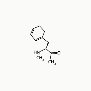 CN[C@@H](CC1=CC=CCC1)C(C)=O